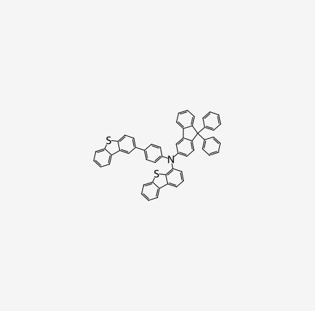 c1ccc(C2(c3ccccc3)c3ccccc3-c3cc(N(c4ccc(-c5ccc6sc7ccccc7c6c5)cc4)c4cccc5c4sc4ccccc45)ccc32)cc1